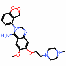 COc1cc2c(cc1OCCN1CCN(C)CC1)=NCN(c1cccc3c1COO3)C=2N